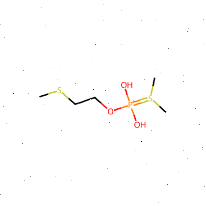 CSCCOP(O)(O)=S(C)C